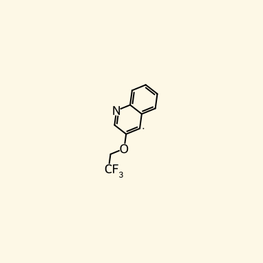 FC(F)(F)COc1[c]c2ccccc2nc1